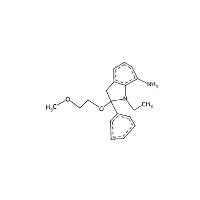 CCN1c2c(N)cccc2CC1(OCCOC)c1ccccc1